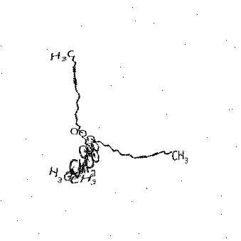 CCCCC#CC#CCCCCCCCCC(=O)OC[C@H](COP(=O)([O-])OCC[N+](C)(C)C)OC(=O)CCCCCCCCC#CC#CCCCC